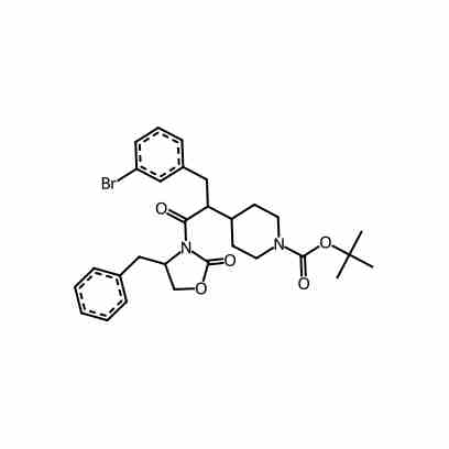 CC(C)(C)OC(=O)N1CCC(C(Cc2cccc(Br)c2)C(=O)N2C(=O)OCC2Cc2ccccc2)CC1